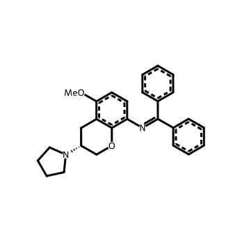 COc1ccc(N=C(c2ccccc2)c2ccccc2)c2c1C[C@@H](N1CCCC1)CO2